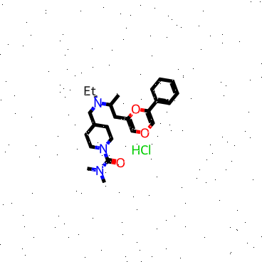 CCN(CC1CCN(C(=O)N(C)C)CC1)C(C)CC1=COC=C(C2=CC=CCC2)O1.Cl